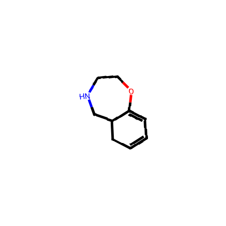 C1=CCC2CNCCOC2=C1